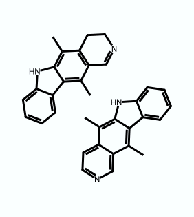 Cc1c2c(c(C)c3c1[nH]c1ccccc13)C=NCC2.Cc1c2ccncc2c(C)c2c1[nH]c1ccccc12